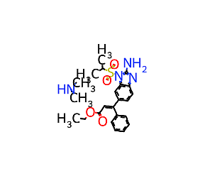 CCOC(=O)C=C(c1ccccc1)c1ccc2nc(N)n(S(=O)(=O)C(C)C)c2c1.CNC